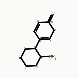 NC1CCCCC1C1=CCC(=O)C=C1